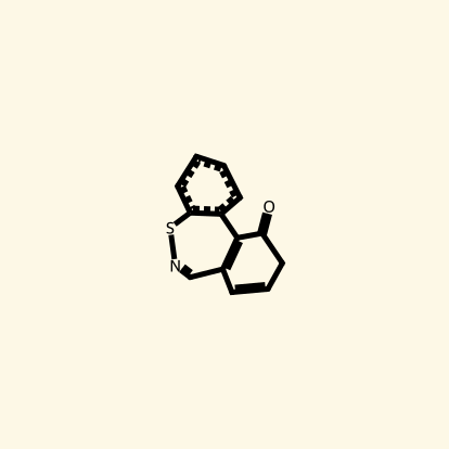 O=C1CC=CC2=C1c1ccccc1SN=C2